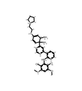 COc1cc(OC)c(Cl)c(Nc2ncccc2-c2cc(C3(N)C=CC(OCCN4CCCC4)=CC3N)ncn2)c1Cl